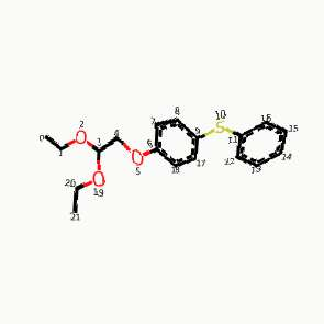 CCOC(COc1ccc(Sc2ccccc2)cc1)OCC